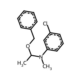 CC(OCc1ccccc1)N(C)c1cccc(Cl)c1